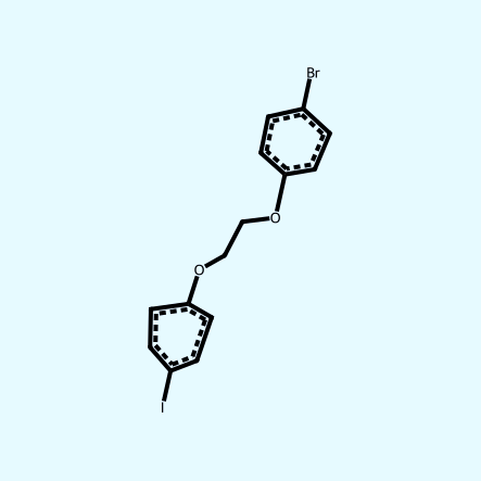 Brc1ccc(OCCOc2ccc(I)cc2)cc1